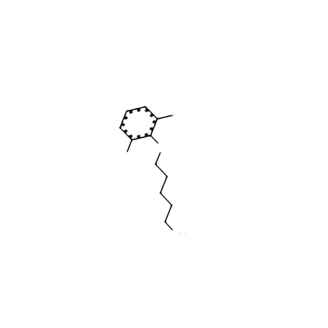 CCCCCCOc1c(Cl)cccc1Cl